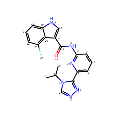 CC(C)n1cnnc1-c1cccc(NC(=O)c2c[nH]c3cccc(F)c23)n1